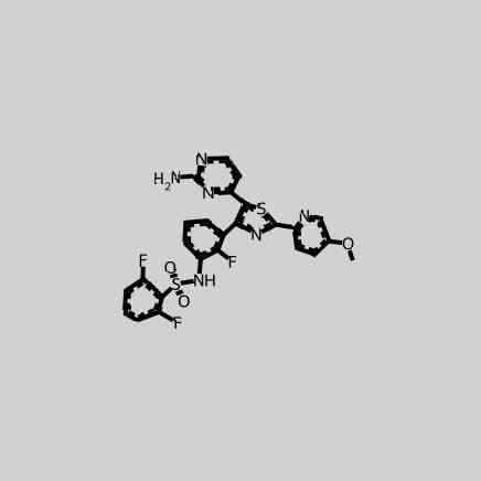 COc1ccc(-c2nc(-c3cccc(NS(=O)(=O)c4c(F)cccc4F)c3F)c(-c3ccnc(N)n3)s2)nc1